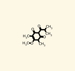 COC1=C(C)C(=O)C(C(=O)C(C)C)C(=O)C1C